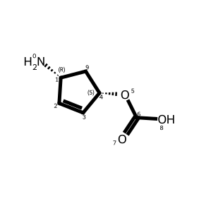 N[C@H]1C=C[C@@H](OC(=O)O)C1